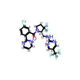 O=C(c1cc(F)ccc1-c1ncccn1)N1CCC(F)(F)[C@H]1CNc1ncc(C(F)(F)F)cn1